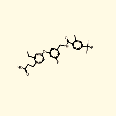 CCc1cc(Oc2cc(F)cc(CNC(=O)c3ccc(C(F)(F)F)cc3C)c2)ccc1CCC(=O)O